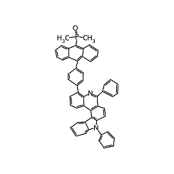 CP(C)(=O)c1c2ccccc2c(-c2ccc(-c3cccc4c3nc(-c3ccccc3)c3ccc5c(c6ccccc6n5-c5ccccc5)c34)cc2)c2ccccc12